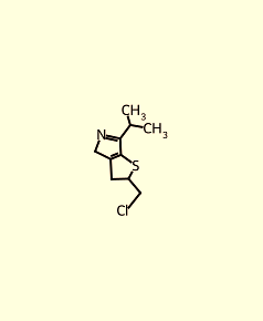 CC(C)C1=NCC2=C1SC(CCl)C2